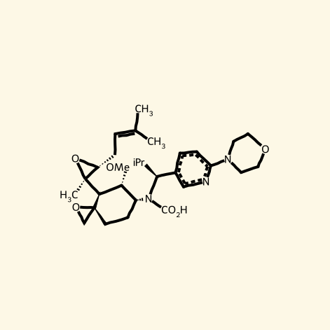 CO[C@@H]1[C@H](N(C(=O)O)[C@H](c2ccc(N3CCOCC3)nc2)C(C)C)CC[C@]2(CO2)[C@H]1[C@@]1(C)O[C@@H]1CC=C(C)C